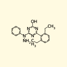 CCc1cccc(CC)c1-c1nc(O)nc(N(N)c2ccccc2)n1